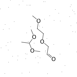 COC(C)OC.COCCOCC=O